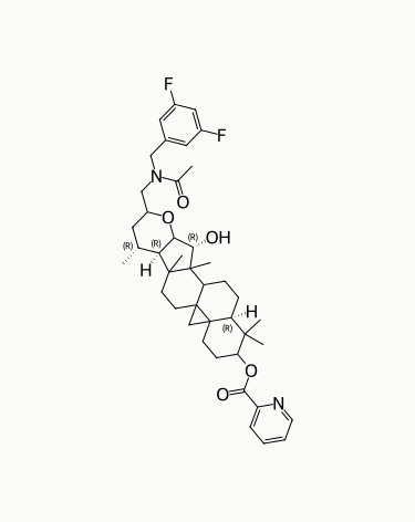 CC(=O)N(Cc1cc(F)cc(F)c1)CC1C[C@@H](C)[C@H]2C(O1)[C@H](O)C1(C)C3CC[C@H]4C(C)(C)C(OC(=O)c5ccccn5)CCC45CC35CCC21C